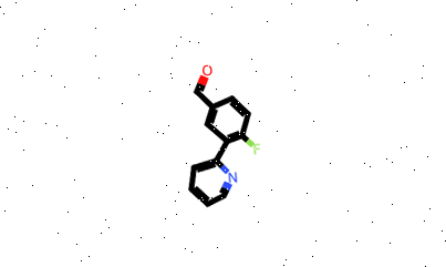 O=Cc1ccc(F)c(-c2ccccn2)c1